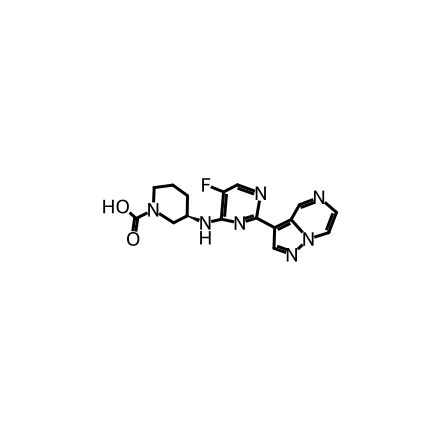 O=C(O)N1CCC[C@@H](Nc2nc(-c3cnn4ccncc34)ncc2F)C1